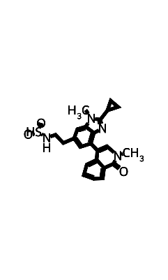 Cn1cc(-c2cc(CCN[SH](=O)=O)cc3c2nc(C2CC2)n3C)c2ccccc2c1=O